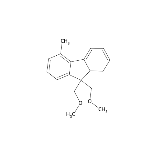 COCC1(COC)c2ccccc2-c2c(C)cccc21